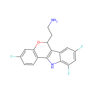 NCCC1Oc2cc(F)ccc2-c2[nH]c3c(F)cc(F)cc3c21